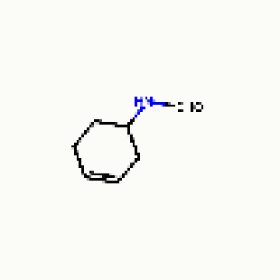 O=[C]NC1CC=CCC1